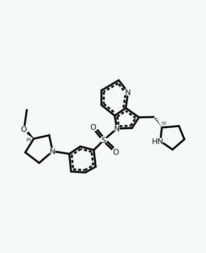 CO[C@@H]1CCN(c2cccc(S(=O)(=O)n3cc(C[C@@H]4CCCN4)c4ncccc43)c2)C1